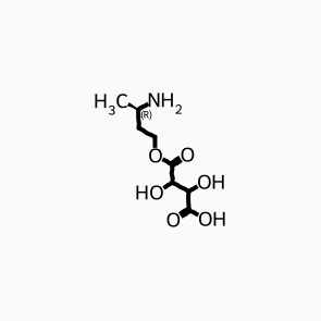 C[C@@H](N)CCOC(=O)C(O)C(O)C(=O)O